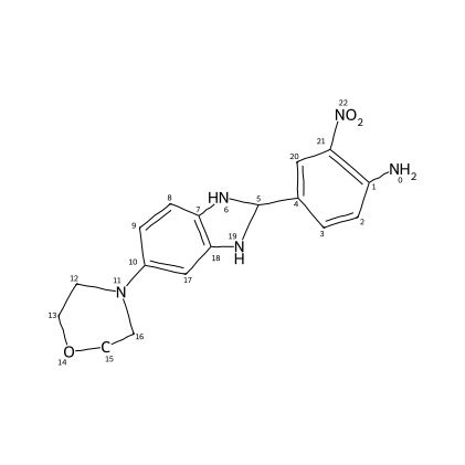 Nc1ccc(C2Nc3ccc(N4CCOCC4)cc3N2)cc1[N+](=O)[O-]